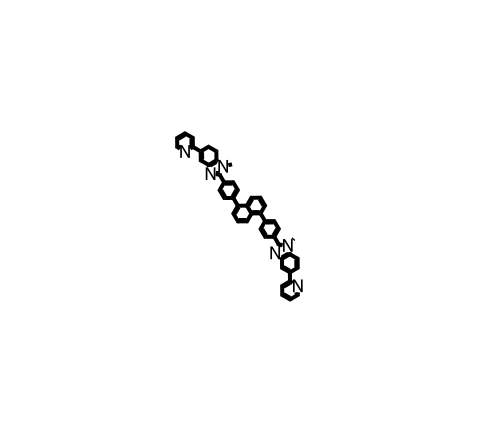 Cn1c(-c2ccc(-c3cccc4c(-c5ccc(-c6nc7cc(-c8ccccn8)ccc7n6C)cc5)cccc34)cc2)nc2c1CCC(c1ccccn1)=C2